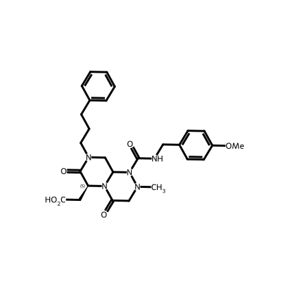 COc1ccc(CNC(=O)N2C3CN(CCCc4ccccc4)C(=O)[C@H](CC(=O)O)N3C(=O)CN2C)cc1